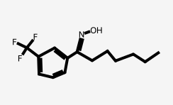 CCCCCCC(=NO)c1cccc(C(F)(F)F)c1